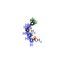 CC(=O)C1CNCC(Nc2cc(C)nc(Nc3ccc(NC(=S)Nc4ccc(Cl)c(C(F)(F)F)c4)nc3)n2)C1